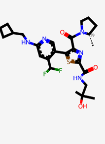 C[C@H]1CCCN1C(=O)c1nc(C(=O)NCC(C)(C)O)sc1-c1cnc(NCC2CCC2)cc1C(F)F